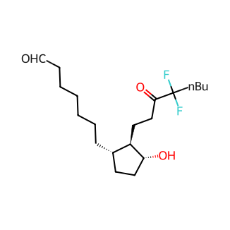 CCCCC(F)(F)C(=O)CC[C@@H]1[C@@H](CCCCCCC=O)CC[C@H]1O